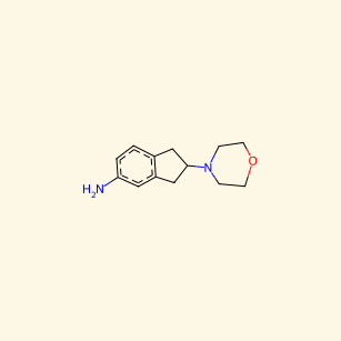 Nc1ccc2c(c1)CC(N1CCOCC1)C2